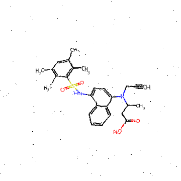 C#CCN(c1ccc(NS(=O)(=O)c2c(C)c(C)cc(C)c2C)c2ccccc12)C(C)CC(=O)O